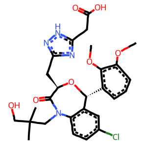 COc1cccc([C@H]2O[C@H](Cc3n[nH]c(CC(=O)O)n3)C(=O)N(CC(C)(C)CO)c3ccc(Cl)cc32)c1OC